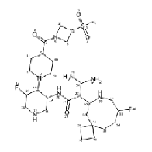 CS(=O)(=O)C1CN(C(=O)C2CCN(C3C(F)CNCC3NC(=O)C(C(N)N)C3CC4(CCC4)CCC(F)CN3)CC2)C1